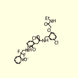 CCNC(=O)COc1ccc(Cl)cc1CNC(=O)Cc1c(C)ccn(NCC(F)(F)c2cccc[n+]2[O-])c1=O